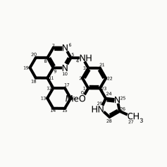 COc1cc(Nc2ncc3c(n2)C(C2CCCCC2)CCC3)ccc1-c1nc(C)c[nH]1